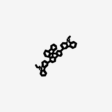 CCn1c2ccccc2c2cc(-c3ccc4c(c3)C3(c5ccccc5-c5ccccc53)c3cc(-c5ccc6c(c5)c5ccccc5n6CC)ccc3-4)ccc21